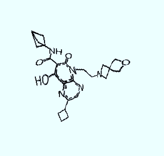 O=C(NC12CC(C1)C2)c1c(O)c2nc(C3CCC3)cnc2n(CCN2CC3(COC3)C2)c1=O